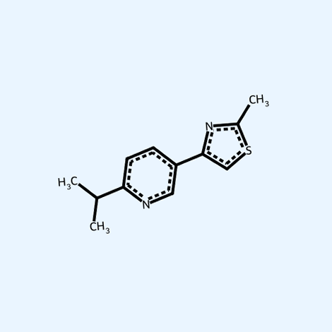 Cc1nc(-c2ccc(C(C)C)nc2)cs1